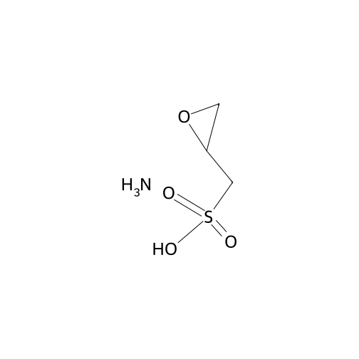 N.O=S(=O)(O)CC1CO1